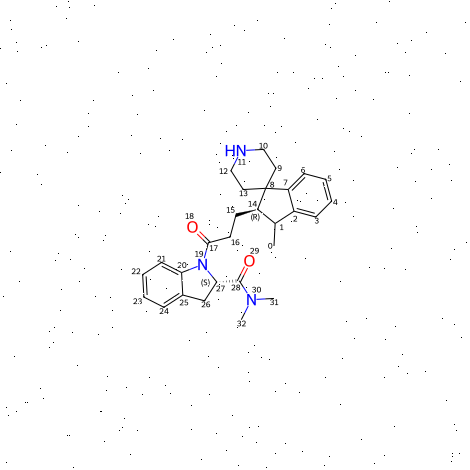 CC1c2ccccc2C2(CCNCC2)[C@@H]1CCC(=O)N1c2ccccc2C[C@H]1C(=O)N(C)C